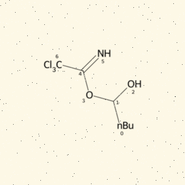 CCCCC(O)OC(=N)C(Cl)(Cl)Cl